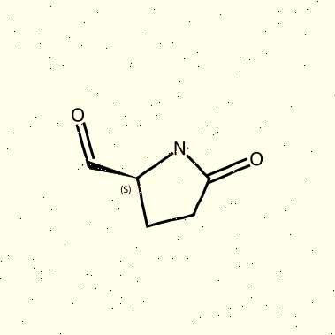 O=[C][C@@H]1CCC(=O)[N]1